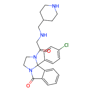 O=C(CNCC1CCNCC1)N1CCN2C(=O)c3ccccc3C12c1ccc(Cl)cc1